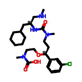 CNC[C@H](CC1CCCCC1)NC(=O)N(C)CC[C@H](OCCN(C)C(=O)O)c1cccc(Cl)c1